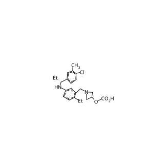 CCc1ccc(N[C@H](CC)c2ccc(Cl)c(C)c2)cc1CN1CC(OC(=O)O)C1